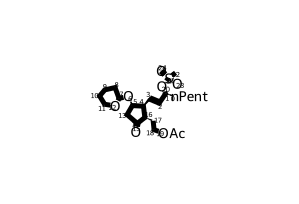 CCCCC[C@H](C=C[C@@H]1[C@@H](OC2CCCCO2)CC(=O)[C@H]1CCOC(C)=O)OS(C)(=O)=O